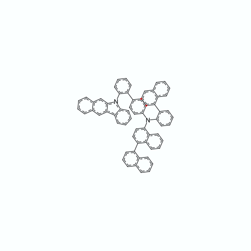 c1ccc(N(c2ccc(-c3ccccc3-n3c4ccccc4c4cc5ccccc5cc43)cc2)c2ccc(-c3cccc4ccccc34)c3ccccc23)c(-c2cccc3ccccc23)c1